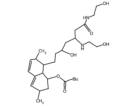 CCC(C)C(=O)OC1CC(C)C=C2C=CC(C)C(CCC(O)CC(CC(=O)NCCO)NCCO)C21